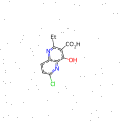 CCc1nc2ccc(Cl)nc2c(O)c1C(=O)O